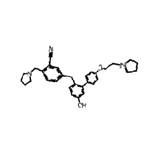 N#Cc1cc(Cc2ccc(O)cc2-c2ccc(OCCN3CCCC3)cc2)ccc1CN1CCCC1